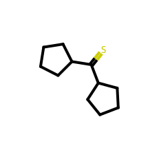 S=C(C1CCCC1)C1CCCC1